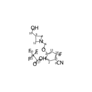 N#Cc1ccc(OCN2CC(CO)C2)cc1F.O=C(O)C(F)(F)F